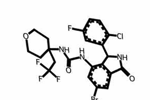 O=C(Nc1cc(Br)cc2c1C(c1cc(F)ccc1Cl)NC2=O)NC1(CC(F)(F)F)CCOCC1